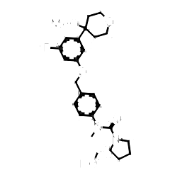 COC1(c2cc(F)cc(OCc3ccc(N(C)C(=O)N4CCC[C@@H]4CO)cc3)c2)CCOCC1